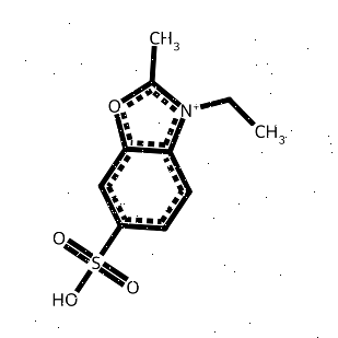 CC[n+]1c(C)oc2cc(S(=O)(=O)O)ccc21